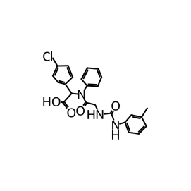 Cc1cccc(NC(=O)NCC(=O)N(c2ccccc2)C(C(=O)O)c2ccc(Cl)cc2)c1